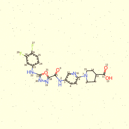 O=C(Nc1ccc(N2CCC(C(=O)O)CC2)nc1)c1nnc(Nc2ccc(F)c(F)c2)o1